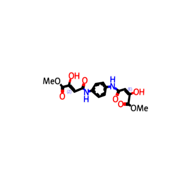 COC(=O)/C(O)=C/C(=O)Nc1ccc(NC(=O)/C=C(/O)C(=O)OC)cc1